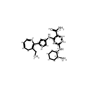 CCC1=C(c2cc(Nc3nc(N[C@@H]4CCCC[C@@H]4N)nnc3C(N)=O)cs2)N=CC=CC1